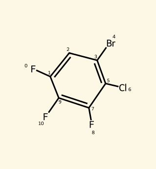 Fc1cc(Br)c(Cl)c(F)c1F